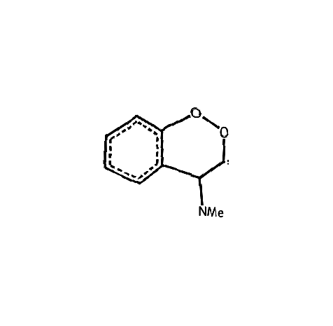 CNC1[C]OOc2ccccc21